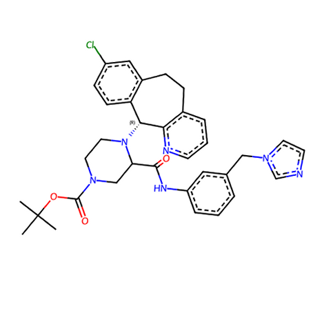 CC(C)(C)OC(=O)N1CCN([C@@H]2c3ccc(Cl)cc3CCc3cccnc32)C(C(=O)Nc2cccc(Cn3ccnc3)c2)C1